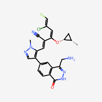 C[C@H]1C[C@H]1OC(=C/C(Cl)=C/F)/C(C#N)=C/c1c(-c2ccc3c(=O)[nH]nc(CN)c3c2)cnn1C